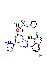 [2H]C([2H])(Oc1nc(N2CC3CCC2CN3)c2cnc(-c3cc(O)cc4ccc(F)c(CC)c34)c(F)c2n1)C1(CN2CCCC2)CC1